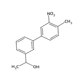 Cc1ccc(-c2cccc(C(C)O)c2)cc1[N+](=O)[O-]